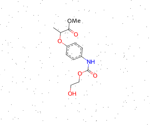 COC(=O)C(C)Oc1ccc(NC(=O)OCCO)cc1